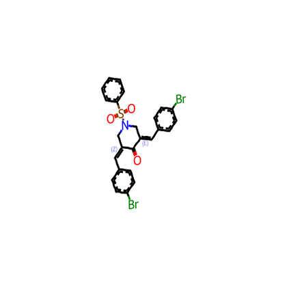 O=C1/C(=C\c2ccc(Br)cc2)CN(S(=O)(=O)c2ccccc2)C/C1=C\c1ccc(Br)cc1